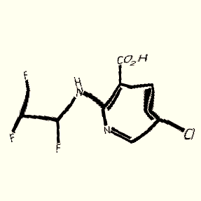 O=C(O)c1cc(Cl)cnc1NC(F)C(F)F